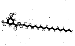 [CH2]CCCCCCCCCCCCCCCCCOOC(=O)c1cc(OC)cc(OC)c1